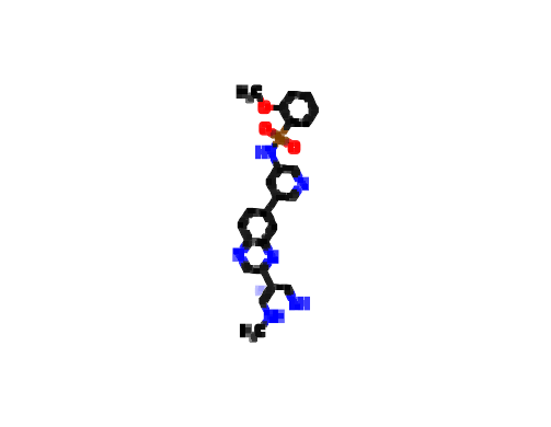 CN/C=C(\C=N)c1cnc2ccc(-c3cncc(NS(=O)(=O)c4ccccc4OC)c3)cc2n1